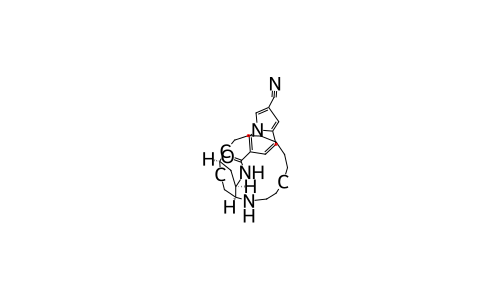 N#Cc1cc2ccc(C(=O)N[C@@H]3C[C@@H]4CCCCCCCCCCN[C@H]3CC4)cn2c1